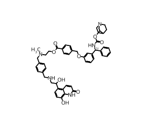 CN(CCOC(=O)c1ccc(COc2cccc([C@@H](NC(=O)OC3CN4CCC3CC4)c3ccccc3)c2)cc1)Cc1ccc(CNCC(O)c2ccc(O)c3[nH]c(=O)ccc23)cc1